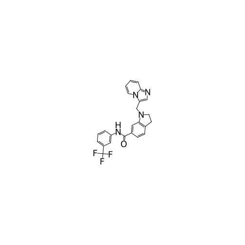 O=C(Nc1cccc(C(F)(F)F)c1)c1ccc2c(c1)N(Cc1cnc3ccccn13)CC2